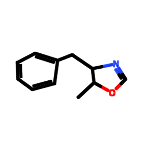 CC1OC=NC1Cc1ccccc1